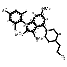 CNc1nc(N2CCC(CCC#N)CC2)c2c(NC)c(NC)n(-c3c(C)cc(Br)cc3C)c2n1